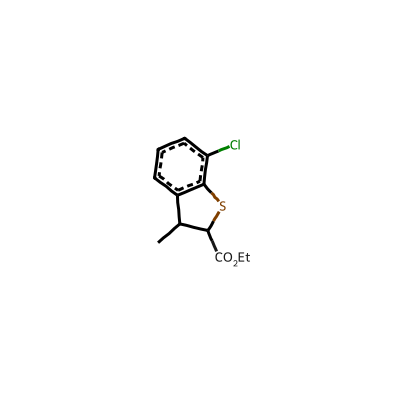 CCOC(=O)C1Sc2c(Cl)cccc2C1C